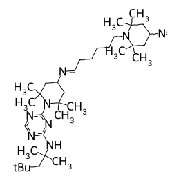 CC(C)(C)CC(C)(C)Nc1n[c]nc(N2C(C)(C)CC(N=CCCCCCN3C(C)(C)CC([N])CC3(C)C)CC2(C)C)n1